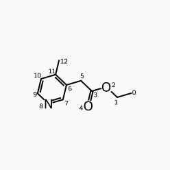 CCOC(=O)Cc1cnccc1C